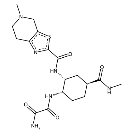 CNC(=O)[C@H]1CC[C@H](NC(=O)C(N)=O)[C@H](NC(=O)c2nc3c(s2)CN(C)CC3)C1